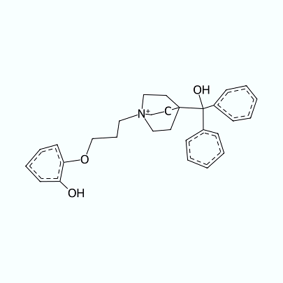 Oc1ccccc1OCCC[N+]12CCC(C(O)(c3ccccc3)c3ccccc3)(CC1)CC2